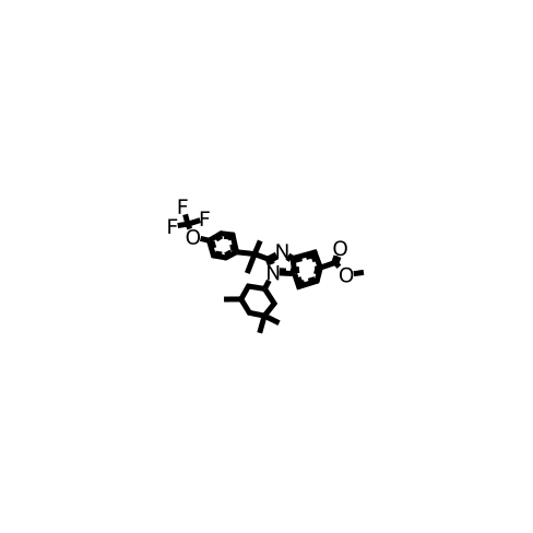 COC(=O)c1ccc2c(c1)nc(C(C)(C)c1ccc(OC(F)(F)F)cc1)n2C1CC(C)CC(C)(C)C1